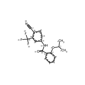 CC(C)Oc1ccccc1C(=O)Nc1ccc(C#N)c(C(F)(F)F)c1